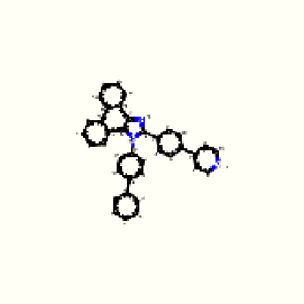 c1ccc(-c2ccc(-n3c(-c4ccc(-c5ccncc5)cc4)nc4c5ccccc5c5ccccc5c43)cc2)cc1